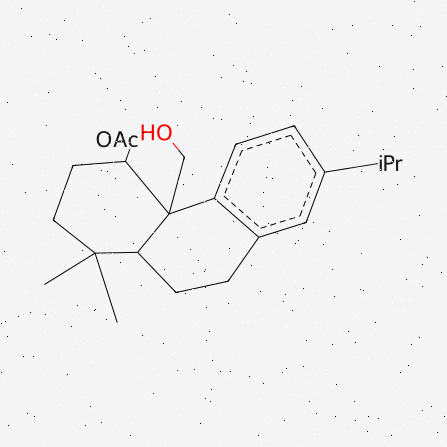 CC(=O)OC1CCC(C)(C)C2CCc3cc(C(C)C)ccc3C12CO